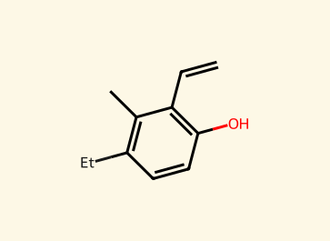 C=Cc1c(O)ccc(CC)c1C